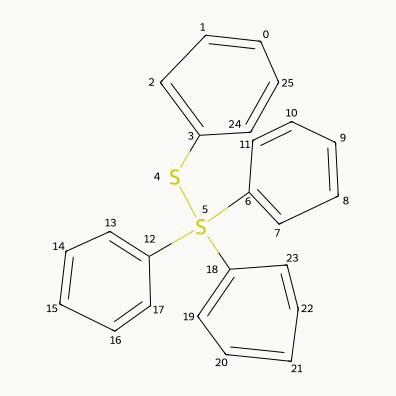 c1ccc(SS(c2ccccc2)(c2ccccc2)c2ccccc2)cc1